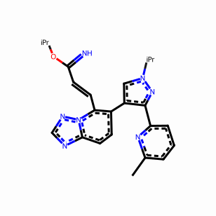 Cc1cccc(-c2nn(C(C)C)cc2-c2ccc3ncnn3c2/C=C/C(=N)OC(C)C)n1